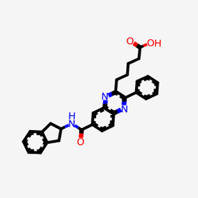 O=C(O)CCCCc1nc2cc(C(=O)NC3Cc4ccccc4C3)ccc2nc1-c1ccccc1